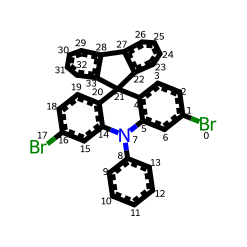 Brc1ccc2c(c1)N(c1ccccc1)c1cc(Br)ccc1C21c2ccccc2-c2ccccc21